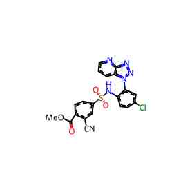 COC(=O)c1ccc(S(=O)(=O)Nc2ccc(Cl)cc2-n2nnc3ncccc32)cc1C#N